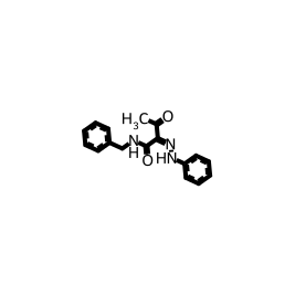 CC(=O)C(=NNc1ccccc1)C(=O)NCc1ccccc1